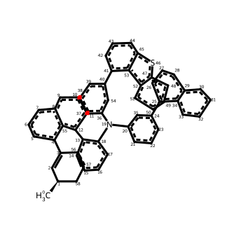 C[C@H]1C=C(c2cccc3cccc(-c4ccccc4N(c4cccc(-c5cccc6ccccc56)c4)c4cccc(-c5cccc6sc7ccccc7c56)c4)c23)C=CC1